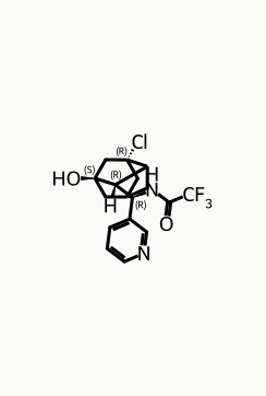 O=C(N[C@@H](c1cccnc1)[C@H]1C2CC3C[C@@]2(Cl)C[C@@]1(O)C3)C(F)(F)F